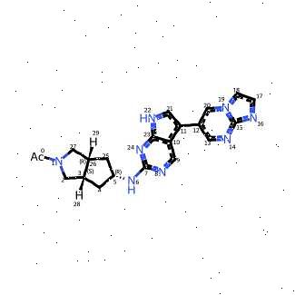 CC(=O)N1C[C@H]2C[C@@H](Nc3ncc4c(-c5cnc6nccn6c5)c[nH]c4n3)C[C@H]2C1